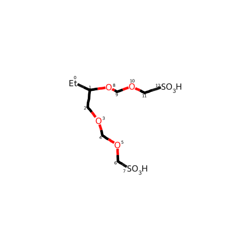 CCC(COCOCS(=O)(=O)O)OCOCS(=O)(=O)O